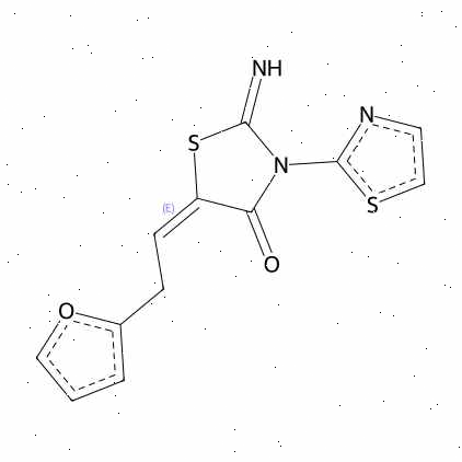 N=C1S/C(=C/Cc2ccco2)C(=O)N1c1nccs1